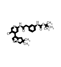 CC1(C)Cc2c(-c3cc(NC(=O)Cc4cccc(NC(=O)OC(C)(C)C)c4)ncc3Cl)cnn2C1